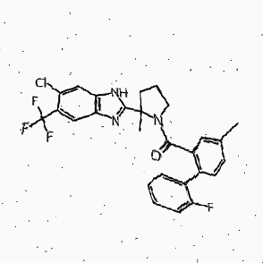 Cc1ccc(-c2ccccc2F)c(C(=O)N2CCCC2(C)c2nc3cc(C(F)(F)F)c(Cl)cc3[nH]2)c1